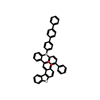 c1ccc(-c2ccc(-c3ccc(N(c4ccc(-c5ccccc5)cc4)c4ccccc4-c4ccc5ccc6oc7ccccc7c6c5c4)cc3)cc2)cc1